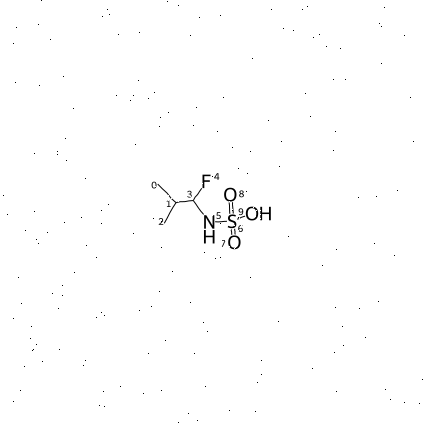 CC(C)C(F)NS(=O)(=O)O